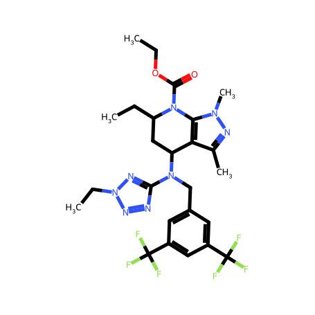 CCOC(=O)N1c2c(c(C)nn2C)C(N(Cc2cc(C(F)(F)F)cc(C(F)(F)F)c2)c2nnn(CC)n2)CC1CC